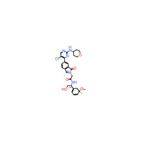 COC1(F)C=CC=C([C@@H](CO)NC(=O)CN2C(=O)c3cc(-c4nc(NC5CCOCC5)ncc4Cl)ccc3[C@H]2C)C1